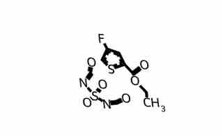 CCOC(=O)c1cc(F)cs1.O=C=NS(=O)(=O)N=C=O